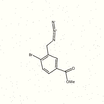 COC(=O)c1ccc(Br)c(CN=[N+]=[N-])c1